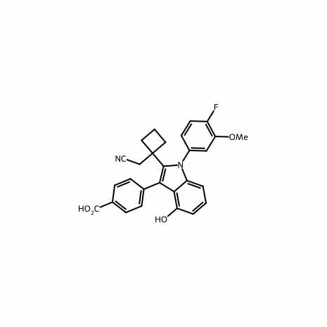 COc1cc(-n2c(C3(CC#N)CCC3)c(-c3ccc(C(=O)O)cc3)c3c(O)cccc32)ccc1F